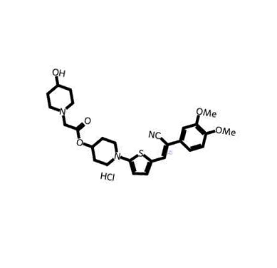 COc1ccc(/C(C#N)=C/c2ccc(N3CCC(OC(=O)CN4CCC(O)CC4)CC3)s2)cc1OC.Cl